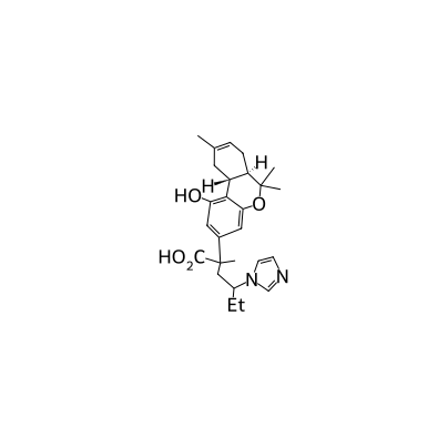 CCC(CC(C)(C(=O)O)c1cc(O)c2c(c1)OC(C)(C)[C@@H]1CC=C(C)C[C@@H]21)n1ccnc1